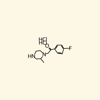 CC1CNCCN1CC(=O)c1ccc(F)cc1.Cl.Cl